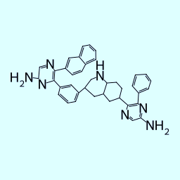 Nc1cnc(-c2ccc3ccccc3c2)c(-c2cccc(C3CNC4CCC(c5ncc(N)nc5-c5ccccc5)CC4C3)c2)n1